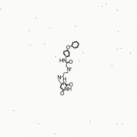 CN(CCCN(C)Cc1cc(=O)[nH]c(=O)[nH]1)CC(=O)Nc1ccc(Oc2ccccc2)cc1